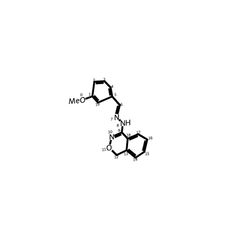 COc1cccc(C=NNC2=NOCc3ccccc32)c1